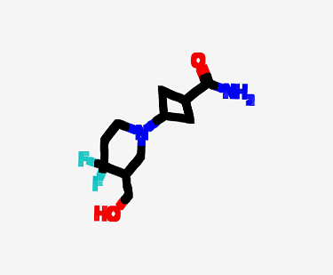 NC(=O)C1CC(N2CCC(F)(F)C(CO)C2)C1